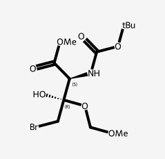 COCO[C@@](O)(CBr)[C@H](NC(=O)OC(C)(C)C)C(=O)OC